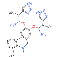 C=Cc1cccc2c1N(C)Cc1cc(OC(N)C(CCC)c3c[nH]nn3)c(OC(N)C(CCC)c3c[nH]nn3)cc1-2